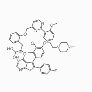 COc1ccccc1-c1nccc(COc2ccccc2C[C@@H](Oc2ncnc3sc(-c4ccc(F)cc4)c(-c4ccc(OCCN5CCN(C)CC5)c(Cl)c4C)c23)C(O)O)n1